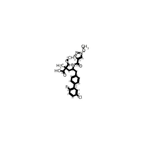 COCC(C)(CC(Cc1ccc(-c2cc(Cl)ccc2F)cc1)NC(=O)c1cn(OC)nn1)C(=O)O